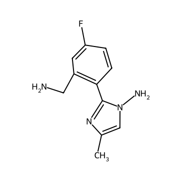 Cc1cn(N)c(-c2ccc(F)cc2CN)n1